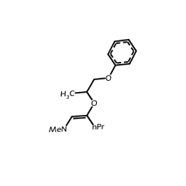 CCCC(=CNC)OC(C)COc1ccccc1